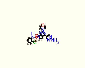 Nc1ncc(-c2nc(N3CCOCC3)nc3c2CCN3OC(=O)Nc2ccccc2Cl)cn1